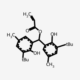 C=CC(=O)OC(c1cc(C)cc(C(C)(C)C)c1O)c1cc(C)cc(C(C)(C)C)c1O